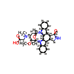 CO[C@@H]1[C@H](N(C)CC(=O)O)C[C@H]2O[C@]1(C)n1c3ccccc3c3c4c(c5c6ccccc6n2c5c31)C(=O)NC4